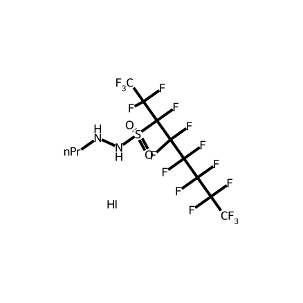 CCCNNS(=O)(=O)C(F)(C(F)(F)C(F)(F)F)C(F)(F)C(F)(F)C(F)(F)C(F)(F)C(F)(F)F.I